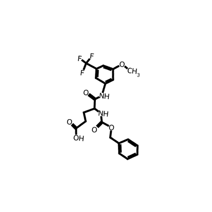 COc1cc(NC(=O)C(CCC(=O)O)NC(=O)OCc2ccccc2)cc(C(F)(F)F)c1